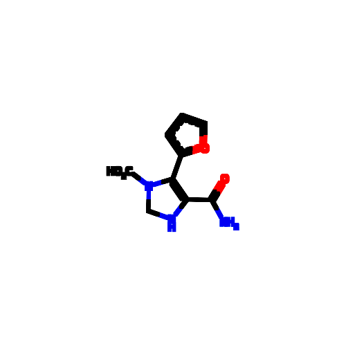 NC(=O)C1=C(c2ccco2)N(C(=O)O)CN1